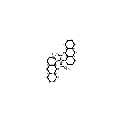 CO[Si](OC)(N1CCCC2CC3CCCCC3CC21)N1CCCC2CC3CCCCC3CC21